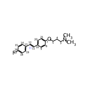 CN(C)CCCOc1ccc(/C=C/c2ccc(F)cc2)cc1